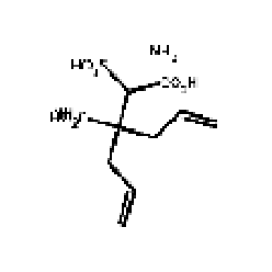 C=CCC(CC=C)(C(=O)O)C(C(=O)O)S(=O)(=O)O.N.N